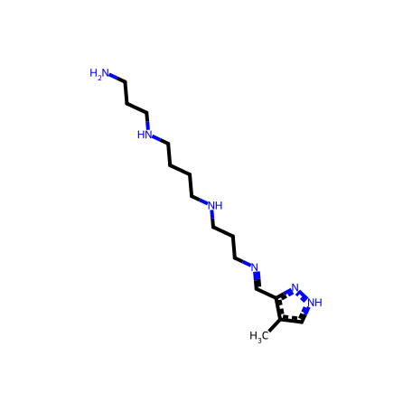 Cc1c[nH]nc1/C=N/CCCNCCCCNCCCN